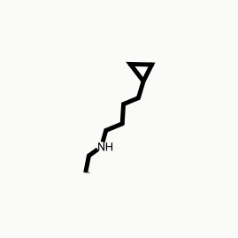 [CH2]CNCCCCC1CC1